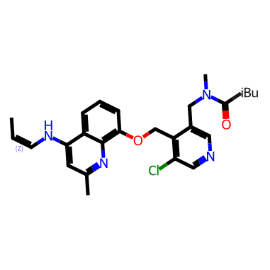 C/C=C\Nc1cc(C)nc2c(OCc3c(Cl)cncc3CN(C)C(=O)C(C)CC)cccc12